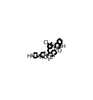 Cc1c(Cl)cc(CC(C(=O)N2CCC(N3CCNCC3)CC2)[C@H]2CC(N3CCc4ccccc4NC3=O)CCN2C(=O)O)cc1Cl